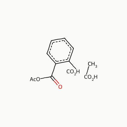 CC(=O)O.CC(=O)OC(=O)c1ccccc1C(=O)O